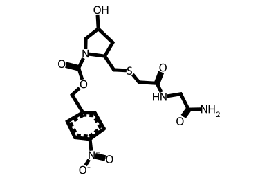 NC(=O)CNC(=O)CSCC1CC(O)CN1C(=O)OCc1ccc([N+](=O)[O-])cc1